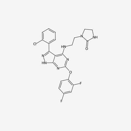 O=C1NCCN1CCNc1nc(Oc2ccc(F)cc2F)nc2[nH]nc(-c3ccccc3Cl)c12